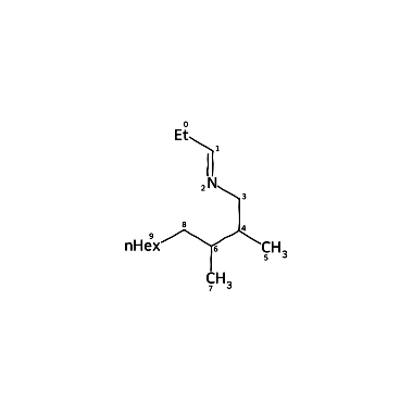 CCC=NCC(C)C(C)CCCCCCC